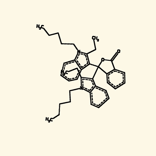 CCCCCn1c(CC)c(C2(c3c(CC)n(CCCCC)c4ccccc34)OC(=O)c3ccccc32)c2ccccc21